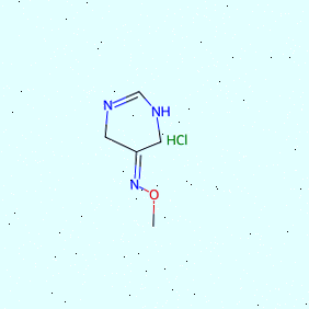 CO/N=C1/CN=CNC1.Cl